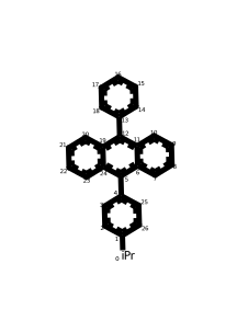 CC(C)c1ccc(-c2c3ccccc3c(-c3ccccc3)c3ccccc23)cc1